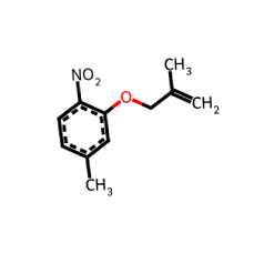 C=C(C)COc1cc(C)ccc1[N+](=O)[O-]